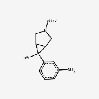 CCCCCCN1CC2C(C1)C2(CCC)c1cccc(N)c1